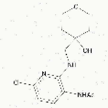 CC(=O)Nc1ccc(Cl)nc1NCC1(O)CCOCC1